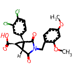 COc1ccc(CN2C(=O)[C@@H]3[C@@H](C(=O)O)[C@]3(c3ccc(Cl)c(Cl)c3)C2=O)c(OC)c1